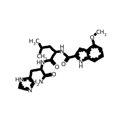 COc1cccc2[nH]c(C(=O)NC(CC(C)C)C(=O)NC(Cc3cnc[nH]3)C(N)=O)cc12